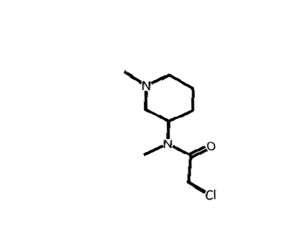 CN1CCCC(N(C)C(=O)CCl)C1